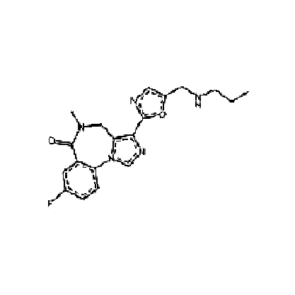 CCCNCc1cnc(-c2ncn3c2CN(C)C(=O)c2cc(F)ccc2-3)o1